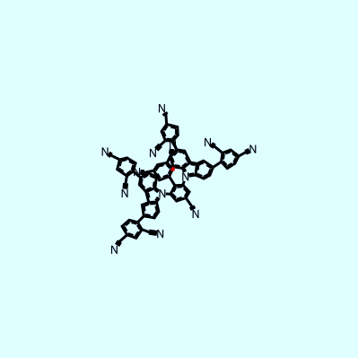 N#Cc1cc(C#N)cc(-c2c(-n3c4ccc(-c5ccc(C#N)cc5C#N)cc4c4cc(-c5ccc(C#N)cc5C#N)ccc43)cc(C#N)cc2-n2c3ccc(-c4ccc(C#N)cc4C#N)cc3c3cc(-c4ccc(C#N)cc4C#N)ccc32)c1